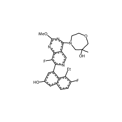 CCc1c(F)ccc2cc(O)cc(-c3ncc4c(N5CCOCC(C)(O)C5)nc(OC)nc4c3F)c12